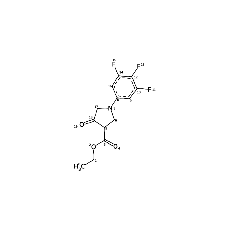 CCOC(=O)C1CN(c2cc(F)c(F)c(F)c2)CC1=O